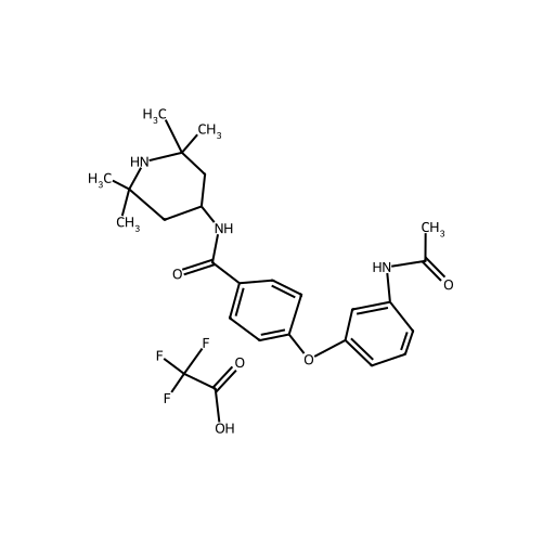 CC(=O)Nc1cccc(Oc2ccc(C(=O)NC3CC(C)(C)NC(C)(C)C3)cc2)c1.O=C(O)C(F)(F)F